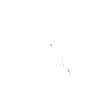 C[C@@H]1CO[C@H](CN=O)[C@H]1N=O